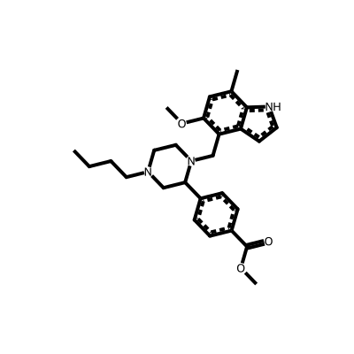 CCCCN1CCN(Cc2c(OC)cc(C)c3[nH]ccc23)C(c2ccc(C(=O)OC)cc2)C1